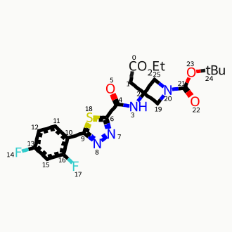 CCOC(=O)CC1(NC(=O)c2nnc(-c3ccc(F)cc3F)s2)CN(C(=O)OC(C)(C)C)C1